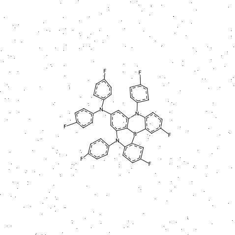 Fc1ccc(N(c2ccc(F)cc2)c2cc3c4c(c2)N(c2ccc(F)cc2)c2ccc(F)cc2B4c2cc(F)ccc2N3c2ccc(F)cc2)cc1